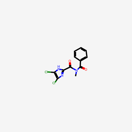 CN(C(=O)c1ccccc1)C(=O)c1nc(Cl)c(Cl)[nH]1